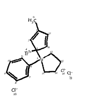 CC1=C[C]([Ti+3])([Si]2(c3ccccc3)CCCC2)C=C1.[Cl-].[Cl-].[Cl-]